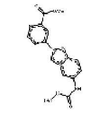 COC(=O)c1cc(-n2cc3cc(NC(=O)OC(C)(C)C)ccc3n2)ccn1